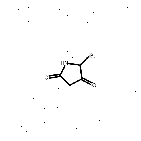 CCC(C)C1NC(=O)CC1=O